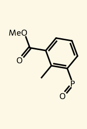 COC(=O)c1cccc(P=O)c1C